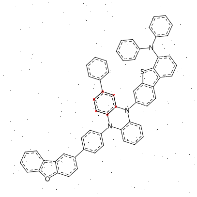 c1ccc(-c2cccc(N(c3ccc4c(c3)sc3c(N(c5ccccc5)c5ccccc5)cccc34)c3ccccc3N(c3ccccc3)c3ccc(-c4ccc5oc6ccccc6c5c4)cc3)c2)cc1